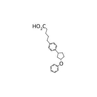 O=C(O)CCCCc1ccc(C2CC[C@H](Oc3ccccc3)C2)cc1